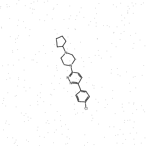 Clc1ccc(-c2ccc(N3CCN(C4CCCC4)CC3)nn2)cc1